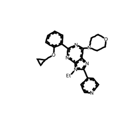 CCn1c(-c2ccncc2)nc2c(N3CCOCC3)nc(-c3ccccc3OC3CC3)nc21